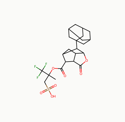 CC(CS(=O)(=O)O)(OC(=O)C1C2CC3C(OC(=O)C31)C2C12CC3CC(CC(C3)C1)C2)C(F)(F)F